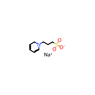 O=S(=O)([O-])CCCN1C=CC=CC1.[Na+]